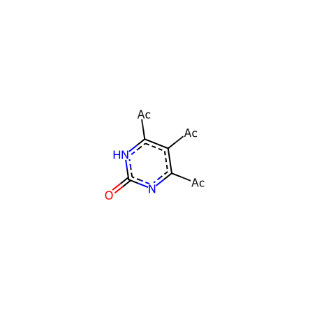 CC(=O)c1nc(=O)[nH]c(C(C)=O)c1C(C)=O